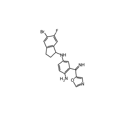 N=C(c1cnco1)c1cc(NC2CCc3cc(Br)c(F)cc32)ccc1N